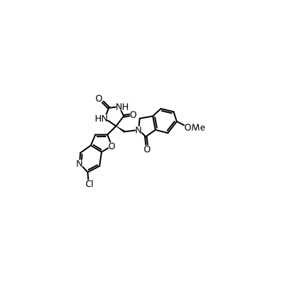 COc1ccc2c(c1)C(=O)N(C[C@@]1(c3cc4cnc(Cl)cc4o3)NC(=O)NC1=O)C2